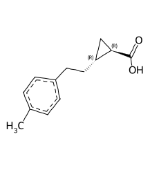 Cc1ccc(CC[C@@H]2C[C@H]2C(=O)O)cc1